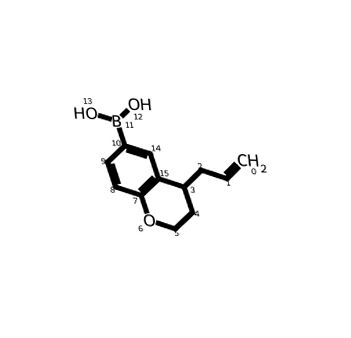 C=CCC1CCOc2ccc(B(O)O)cc21